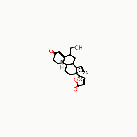 C[C@]12CCC3C(CC(CO)C4=CC(=O)CC[C@@H]43)C1CC[C@@]21C=CC(=O)O1